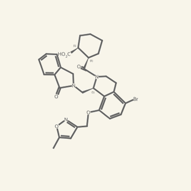 Cc1cc(COc2ccc(Br)c3c2[C@@H](CN2Cc4ccccc4C2=O)N(C(=O)[C@@H]2CCCC[C@@H]2C(=O)O)CC3)no1